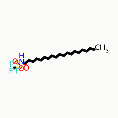 CCCCCCCCCCCCCCCCCCCC(=O)NS(=O)(=O)C(F)(F)F